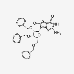 Nc1nc2c(sc(=O)n2[C@@H]2O[C@H](COCc3ccccc3)[C@@H](OCc3ccccc3)[C@@H]2OCc2ccccc2)c(=O)[nH]1